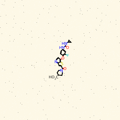 O=C(Nc1ccc(Oc2ccnc3cc(C(=O)N4CCC(C(=O)O)CC4)sc23)c(F)c1)NC1CC1